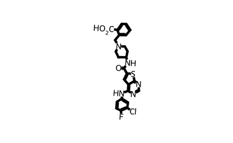 O=C(NC1CCN(Cc2ccccc2C(=O)O)CC1)c1cc2c(Nc3ccc(F)c(Cl)c3)ncnc2s1